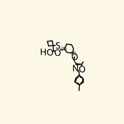 Cc1ccc(-c2nc(CO[C@@H]3CCC[C@H](CSC4(C(=O)O)CCC4)C3)c(C)o2)cc1